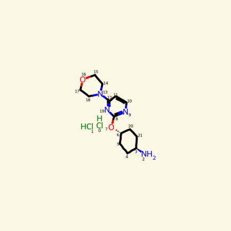 Cl.Cl.N[C@H]1CC[C@H](Oc2nccc(N3CCOCC3)n2)CC1